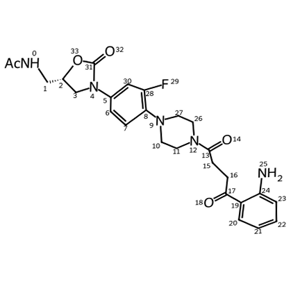 CC(=O)NC[C@H]1CN(c2ccc(N3CCN(C(=O)CCC(=O)c4ccccc4N)CC3)c(F)c2)C(=O)O1